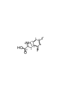 N[C@@H](Cc1ccc(I)cc1F)C(=O)O